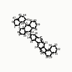 c1ccc2c(-c3c4ccccc4c(-c4ccc5c(c4)sc4cc6c(cc45)sc4ccc5ccccc5c46)c4ccccc34)cccc2c1